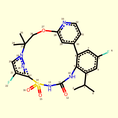 CC(C)c1cc(F)cc2c1NC(=O)NS(=O)(=O)c1nn(cc1F)C(C)(C)COc1cc-2ccn1